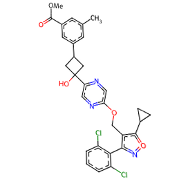 COC(=O)c1cc(C)cc(C2CC(O)(c3cnc(OCc4c(-c5c(Cl)cccc5Cl)noc4C4CC4)cn3)C2)c1